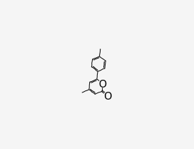 Cc1ccc(-c2cc(C)cc(=O)o2)cc1